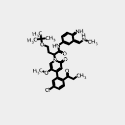 CCC(=O)c1ccc(Cl)cc1-c1cc(=O)n(C(CCOC(C)(C)C)C(=O)NC2=C/C(=C/NC)C(=N)C=C2)cc1OC